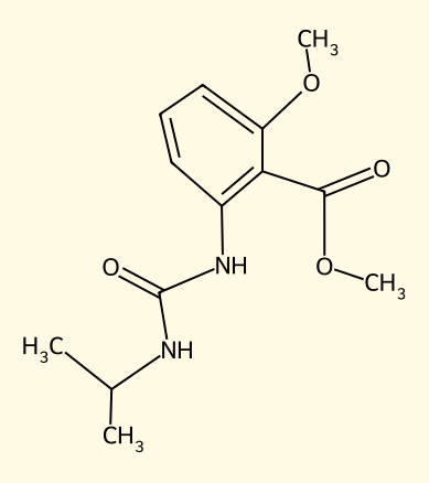 COC(=O)c1c(NC(=O)NC(C)C)cccc1OC